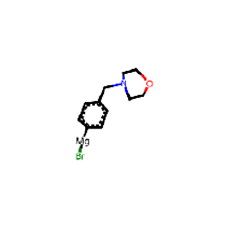 [Br][Mg][c]1ccc(CN2CCOCC2)cc1